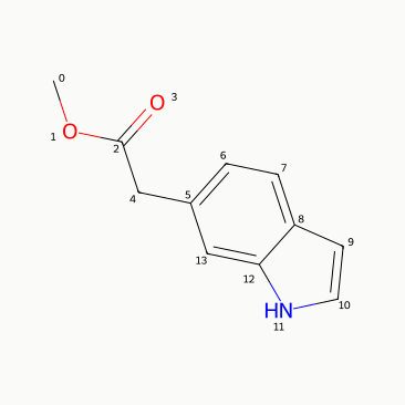 COC(=O)Cc1ccc2cc[nH]c2c1